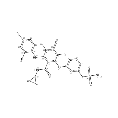 Cc1c(Oc2cccc(CS(N)(=O)=O)c2)c(C(=O)NC2CC2)c(Nc2ccc(I)cc2F)n(C)c1=O